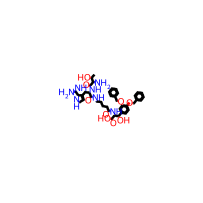 CC(O)C(N)C(=O)NC(CC1=CCNC1C(=N)N)C(=O)NCCCCC(=O)NC(C(=O)O)C(O)c1ccc(OCc2ccccc2)c(OCc2ccccc2)c1